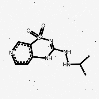 CC(C)NNC1=NS(=O)(=O)c2cnccc2N1